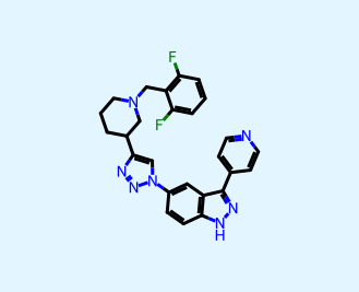 Fc1cccc(F)c1CN1CCCC(c2cn(-c3ccc4[nH]nc(-c5ccncc5)c4c3)nn2)C1